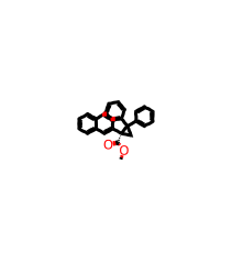 COC(=O)[C@@]1(c2ccc3ccccc3c2)CC1(c1ccccc1)c1ccccc1